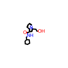 O=C(NCC1CCCCC1)c1cc(CCO)n2ccccc12